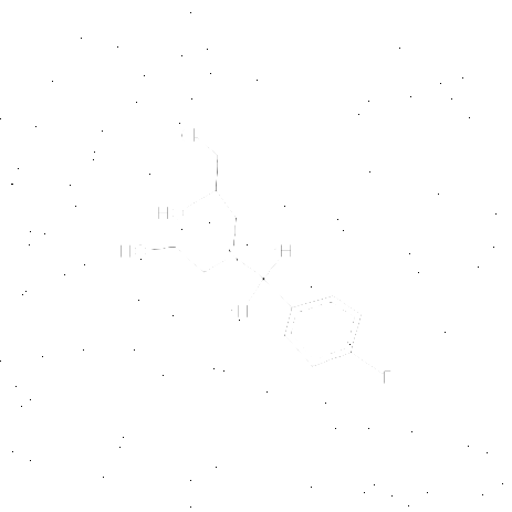 [2H]C([2H])(c1ccc(F)cc1)N(CCO)CC(O)CCl